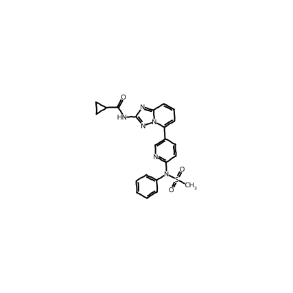 CS(=O)(=O)N(c1ccccc1)c1ccc(-c2cccc3nc(NC(=O)C4CC4)nn23)cn1